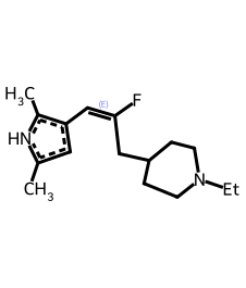 CCN1CCC(C/C(F)=C\c2cc(C)[nH]c2C)CC1